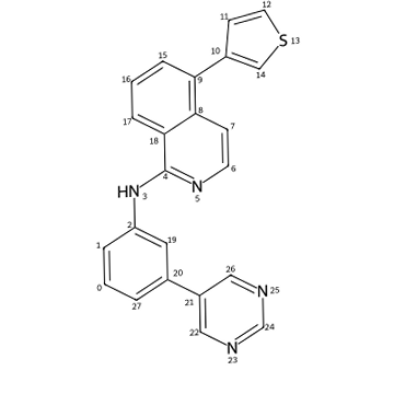 c1cc(Nc2nccc3c(-c4ccsc4)cccc23)cc(-c2cncnc2)c1